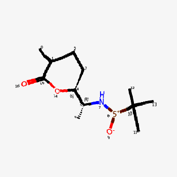 CC1CC[C@@H]([C@@H](C)N[S+]([O-])C(C)(C)C)OC1=O